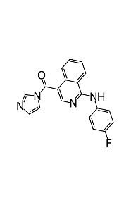 O=C(c1cnc(Nc2ccc(F)cc2)c2ccccc12)n1ccnc1